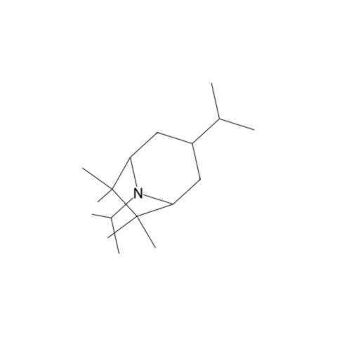 CC(C)C1CC2N(C(C)C)C(C1)C(C)(C)C2(C)C